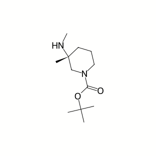 CN[C@]1(C)CCCN(C(=O)OC(C)(C)C)C1